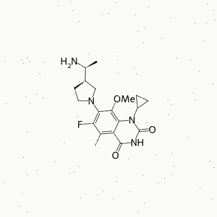 COc1c(N2CC[C@@H]([C@H](C)N)C2)c(F)c(C)c2c(=O)[nH]c(=O)n(C3CC3)c12